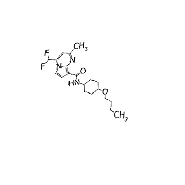 CCCCOC1CCC(NC(=O)c2ccn3c(C(F)F)cc(C)nc23)CC1